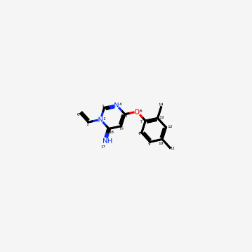 C=Cn1cnc(Oc2ccc(C)cc2C)cc1=N